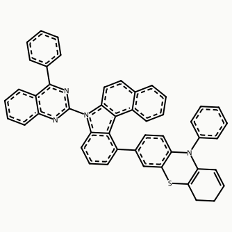 C1=CC2=C(CC1)Sc1cc(-c3cccc4c3c3c5ccccc5ccc3n4-c3nc(-c4ccccc4)c4ccccc4n3)ccc1N2c1ccccc1